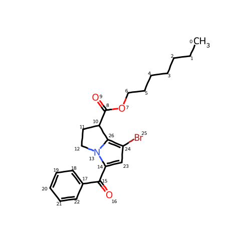 CCCCCCCOC(=O)C1CCn2c(C(=O)c3ccccc3)cc(Br)c21